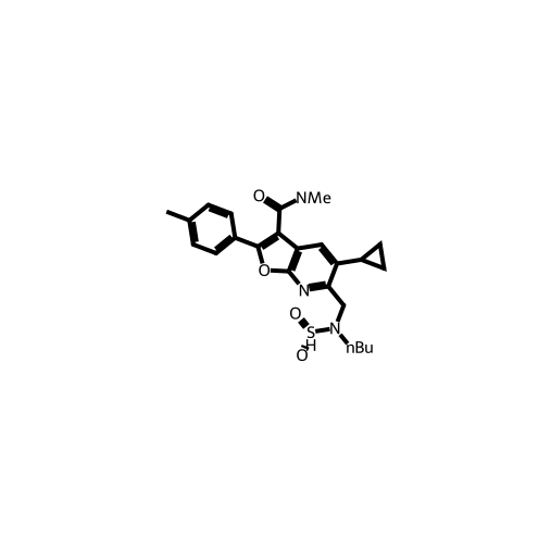 [CH2]CCCN(Cc1nc2oc(-c3ccc(C)cc3)c(C(=O)NC)c2cc1C1CC1)[SH](=O)=O